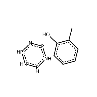 Cc1ccccc1O.n1p[nH][pH][nH][pH]1